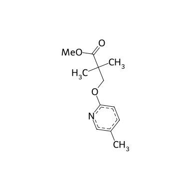 COC(=O)C(C)(C)COc1ccc(C)cn1